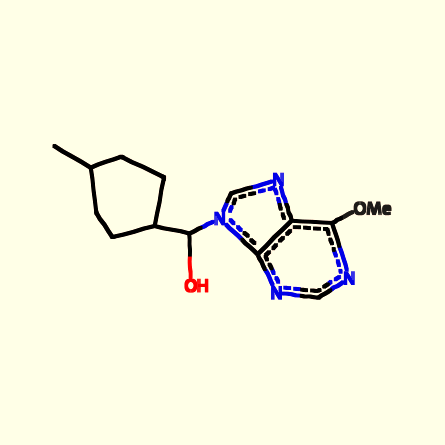 COc1ncnc2c1ncn2C(O)C1CCC(C)CC1